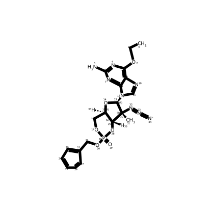 CCOc1nc(N)nc2c1ncn2[C@@H]1O[C@@H]2COP(=O)(OCc3ccccc3)O[C@H]2[C@@]1(C)N=[N+]=[N-]